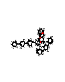 C1=CC=CC(c2nc(-c3ccc(-c4ccc(-c5ccccc5)cc4)cc3)nc(-n3c4ccccc4c4ccc5c6ccccc6n(-c6cccc(-c7ccccc7)c6)c5c43)n2)C=1